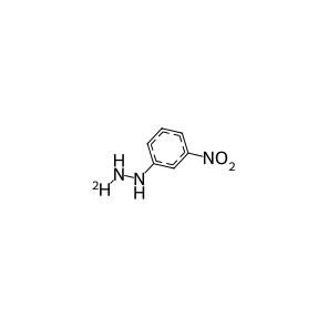 [2H]NNc1cccc([N+](=O)[O-])c1